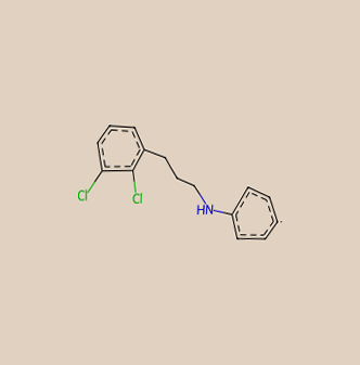 Clc1cccc(CCCNc2cc[c]cc2)c1Cl